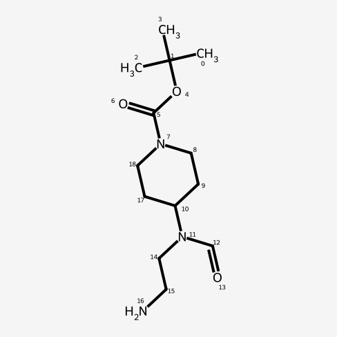 CC(C)(C)OC(=O)N1CCC(N(C=O)CCN)CC1